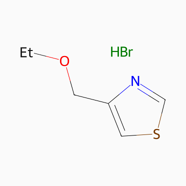 Br.CCOCc1cscn1